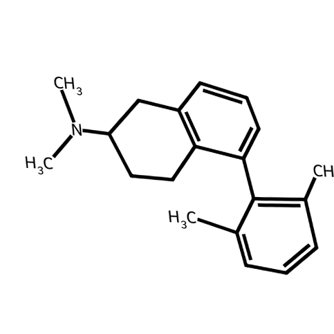 Cc1cccc(C)c1-c1cccc2c1CCC(N(C)C)C2